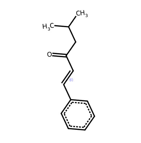 CC(C)CC(=O)/C=C/c1ccccc1